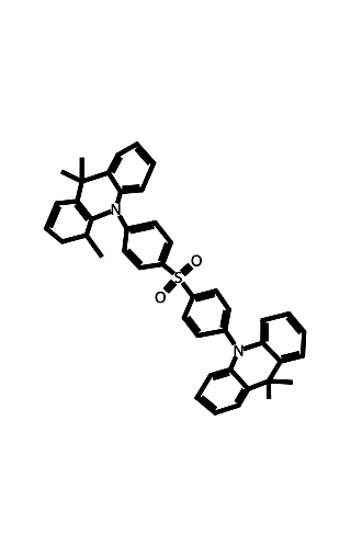 CC1CC=CC2=C1N(c1ccc(S(=O)(=O)c3ccc(N4c5ccccc5C(C)(C)c5ccccc54)cc3)cc1)c1ccccc1C2(C)C